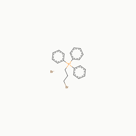 BrCCC[P+](c1ccccc1)(c1ccccc1)c1ccccc1.[Br-]